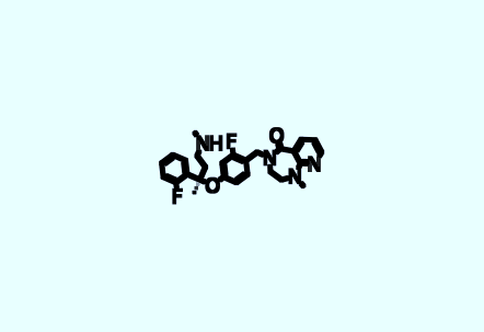 CNCC[C@@](C)(Oc1ccc(CN2CCN(C)c3ncccc3C2=O)c(F)c1)c1ccccc1F